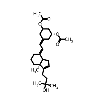 CC(=O)OC1C/C(=C/C=C2\CCC[C@]3(C)C(CCC(C)(C)O)=CCC23)C[C@@H](OC(C)=O)C1